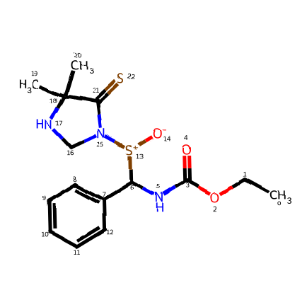 CCOC(=O)NC(c1ccccc1)[S+]([O-])N1CNC(C)(C)C1=S